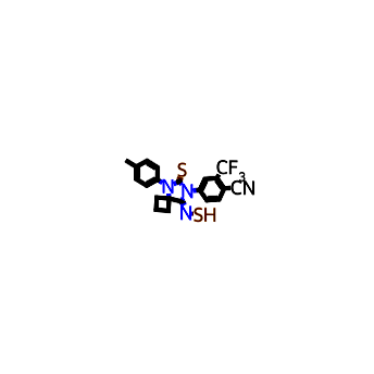 Cc1ccc(N2C(=S)N(c3ccc(C#N)c(C(F)(F)F)c3)C(=NS)C23CCC3)cc1